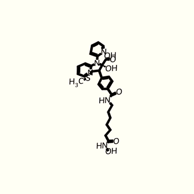 CSCC(c1ccc(C(=O)NCCCCCCC(=O)NO)cc1)[C@@](O)(C(=O)O)N(c1ccccn1)c1ccccn1